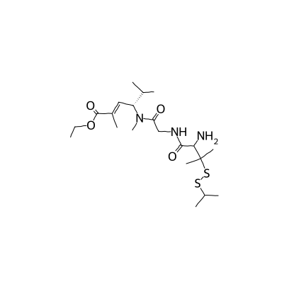 CCOC(=O)/C(C)=C/[C@H](C(C)C)N(C)C(=O)CNC(=O)C(N)C(C)(C)SSC(C)C